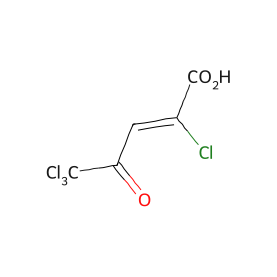 O=C(O)C(Cl)=CC(=O)C(Cl)(Cl)Cl